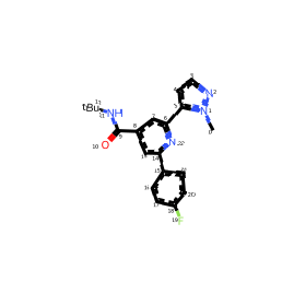 Cn1nccc1-c1cc(C(=O)NC(C)(C)C)cc(-c2ccc(F)cc2)n1